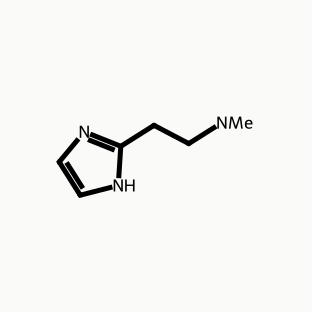 CNCCc1ncc[nH]1